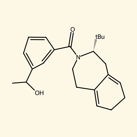 CC(O)c1cccc(C(=O)N2CCC3=CCCC=C3C[C@H]2C(C)(C)C)c1